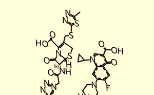 Cc1nnc(SCC2=C(C(=O)O)N3C(=O)[C@@H](NC(=O)Cn4cnnn4)[C@H]3SC2)s1.O=C(O)c1cn(C2CC2)c2cc(N3CCNCC3)c(F)cc2c1=O